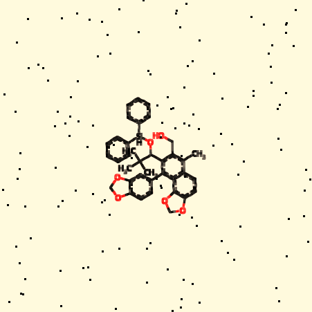 Cc1c(CO)c(C(O[SiH](c2ccccc2)c2ccccc2)C(C)(C)C)c(-c2ccc3c(c2)OCO3)c2c3c(ccc12)OCO3